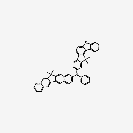 CC1(C)c2cc3ccccc3cc2-c2cc3ccc(N(c4ccccc4)c4ccc5c(c4)C(C)(C)c4c-5ccc5sc6ccccc6c45)cc3cc21